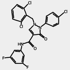 O=C(Nc1cc(F)cc(F)c1)c1cn(Cc2c(Cl)cccc2Cl)n(-c2ccc(Cl)cc2)c1=O